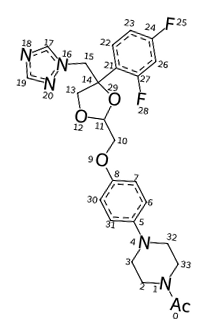 CC(=O)N1CCN(c2ccc(OCC3OCC(Cn4cncn4)(c4ccc(F)cc4F)O3)cc2)CC1